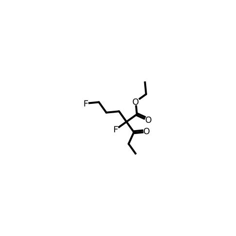 CCOC(=O)C(F)(CCCF)C(=O)CC